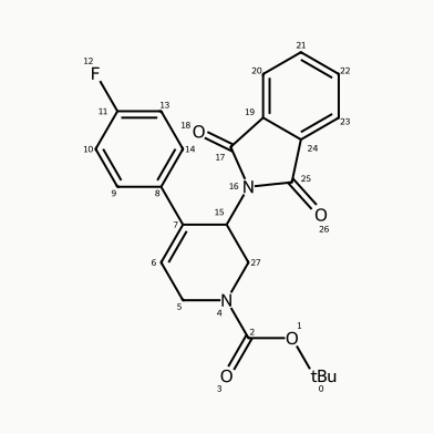 CC(C)(C)OC(=O)N1CC=C(c2ccc(F)cc2)C(N2C(=O)c3ccccc3C2=O)C1